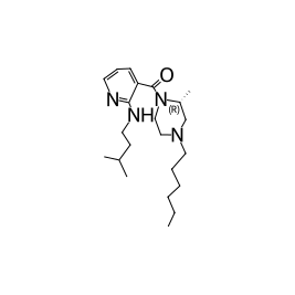 CCCCCCN1CCN(C(=O)c2cccnc2NCCC(C)C)[C@H](C)C1